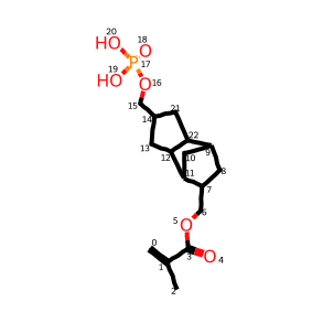 C=C(C)C(=O)OCC1CC2CC1C1CC(COP(=O)(O)O)CC21